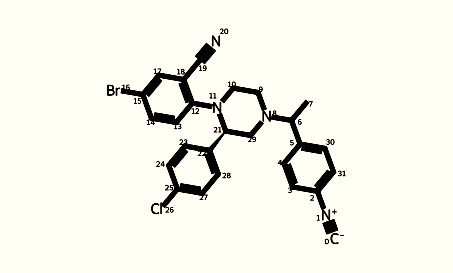 [C-]#[N+]c1ccc(C(C)N2CCN(c3ccc(Br)cc3C#N)[C@H](c3ccc(Cl)cc3)C2)cc1